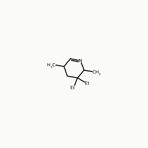 CCC1(CC)CC(C)C=NC1C